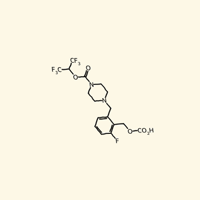 O=C(O)OCc1c(F)cccc1CN1CCN(C(=O)OC(C(F)(F)F)C(F)(F)F)CC1